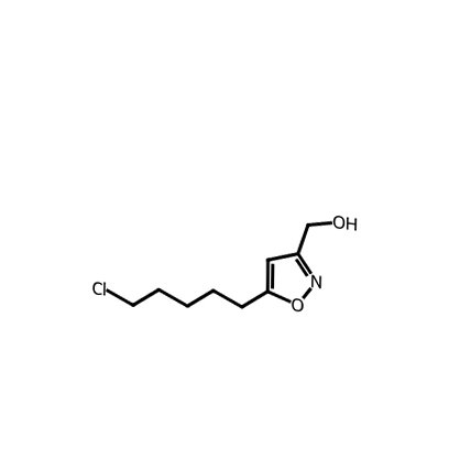 OCc1cc(CCCCCCl)on1